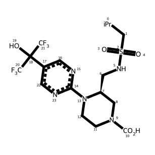 CC(C)CS(=O)(=O)NC[C@H]1CN(C(=O)O)CCN1c1ncc(C(O)(C(F)(F)F)C(F)(F)F)cn1